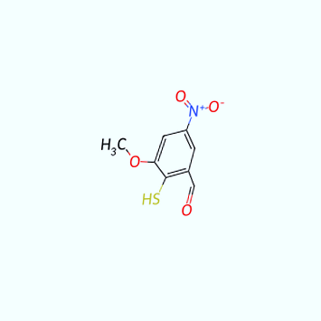 COc1cc([N+](=O)[O-])cc(C=O)c1S